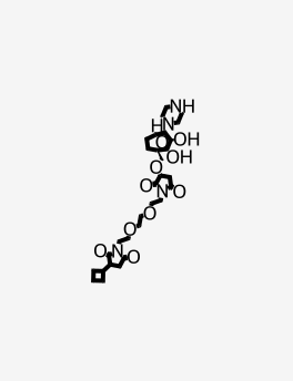 O=C1CC(OC[C@@]23CC[C@@H](O2)[C@H](N2CCNCC2)[C@@H](O)[C@H]3O)C(=O)N1CCOCCOCCN1C(=O)CC(C2CCC2)C1=O